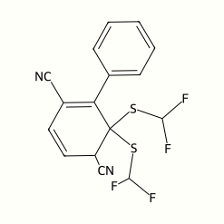 N#CC1=C(c2ccccc2)C(SC(F)F)(SC(F)F)C(C#N)C=C1